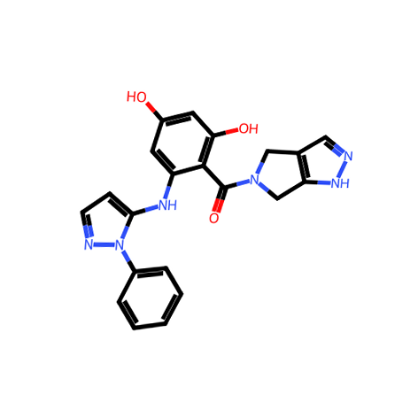 O=C(c1c(O)cc(O)cc1Nc1ccnn1-c1ccccc1)N1Cc2cn[nH]c2C1